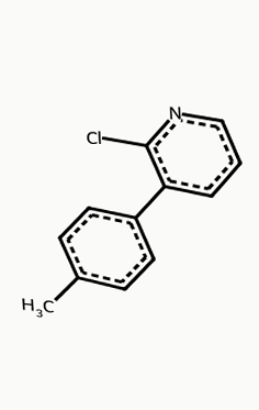 Cc1ccc(-c2cccnc2Cl)cc1